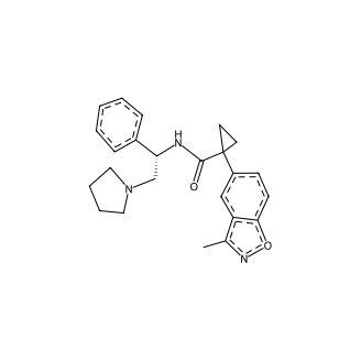 Cc1noc2ccc(C3(C(=O)N[C@H](CN4CCCC4)c4ccccc4)CC3)cc12